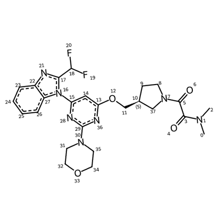 CN(C)C(=O)C(=O)N1CC[C@H](COc2cc(-n3c(C(F)F)nc4ccccc43)nc(N3CCOCC3)n2)C1